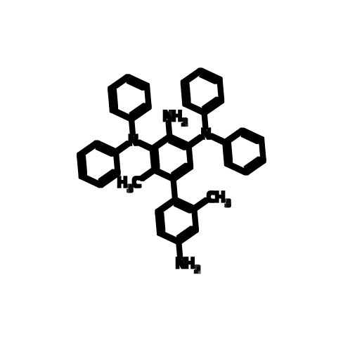 Cc1cc(N)ccc1-c1cc(N(c2ccccc2)c2ccccc2)c(N)c(N(c2ccccc2)c2ccccc2)c1C